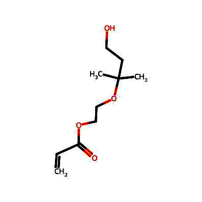 C=CC(=O)OCCOC(C)(C)CCO